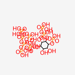 O=P(O)(O)OC1C(O)C(O)C(O)C(O)C1OP(=O)(O)OP(=O)(O)O.O=P(O)(O)OP(=O)(OP(=O)(O)O)OP(=O)(OP(=O)(O)O)OP(=O)(O)O